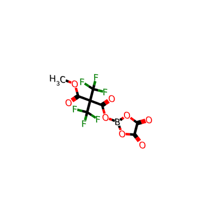 COC(=O)C(C(=O)OB1OC(=O)C(=O)O1)(C(F)(F)F)C(F)(F)F